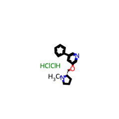 CN1CCC[C@H]1COc1cncc(-c2ccccc2)c1.Cl.Cl